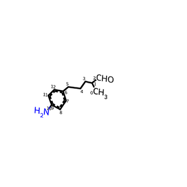 CC(C=O)CCCc1ccc(N)cc1